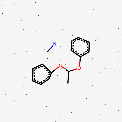 CC(Oc1ccccc1)Oc1ccccc1.CN